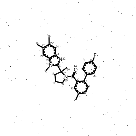 Cc1ccc(-c2ccc(F)cc2)c(C(=O)N2CCCC2(C)c2nc3cc(C)c(C)cc3n2C)c1